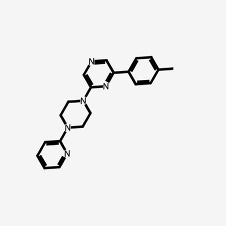 Cc1ccc(-c2cncc(N3CCN(c4ccccn4)CC3)n2)cc1